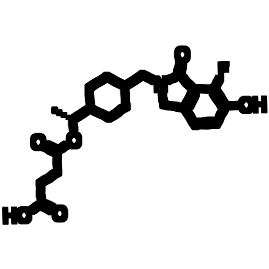 C[C@@H](OC(=O)CCC(=O)O)C1CCC(CN2Cc3ccc(O)c(F)c3C2=O)CC1